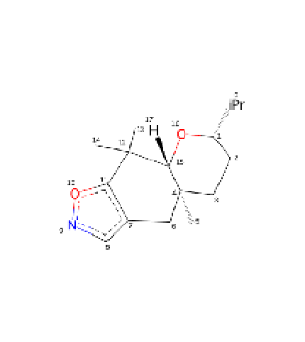 CC(C)[C@@H]1CC[C@@]2(C)Cc3cnoc3C(C)(C)[C@@H]2O1